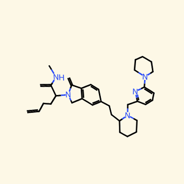 C=CCCC(C(=C)NC)N1Cc2cc(CCC3CCCCN3Cc3cccc(N4CCCCC4)n3)ccc2C1=C